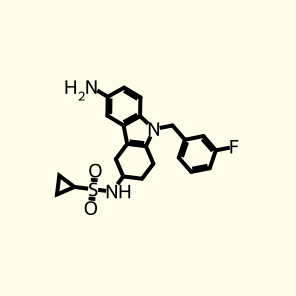 Nc1ccc2c(c1)c1c(n2Cc2cccc(F)c2)CCC(NS(=O)(=O)C2CC2)C1